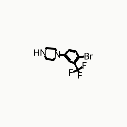 FC(F)(F)c1cc(N2CCNCC2)ccc1Br